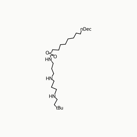 CCCCCCCCCCCCCCCCCCS(=O)(=O)NCCCNCCCNCCC(C)(C)C